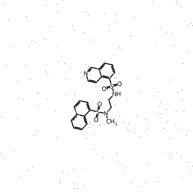 CN(CCNS(=O)(=O)c1cccc2cnccc12)S(=O)(=O)c1cccc2ccccc12